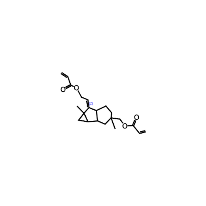 C=CC(=O)OC/C=C1/C2CCC(C)(COC(=O)C=C)CC2C2CC12C